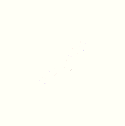 CC(C)Nc1ncc(-c2ncc3cc(Oc4ccnc(-c5cnn(C)c5)c4)ccc3n2)c(=O)n1C